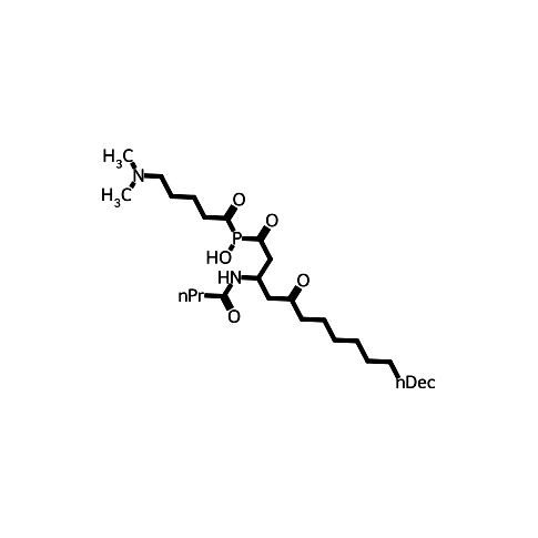 CCCCCCCCCCCCCCCCC(=O)CC(CC(=O)P(O)C(=O)CCCCN(C)C)NC(=O)CCC